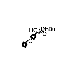 CCCCNC(=O)OCC(O)c1ccc(OCc2ccccc2)cc1